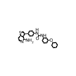 Nc1nccc2scc(-c3ccc(NC(=O)Nc4cccc(Oc5ccccc5)c4)cc3)c12